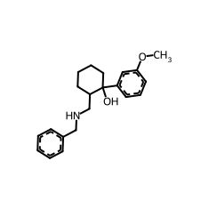 COc1cccc(C2(O)CCCCC2CNCc2ccccc2)c1